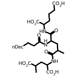 CCCCCCCCCCCCC(=O)NC(CC(C)C(=O)NC(CC(C)C(=O)O)C(=O)O)C(=O)NC(CCCC(=O)O)C(=O)O